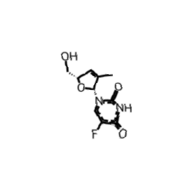 CC1=C[C@@H](CO)O[C@H]1n1cc(F)c(=O)[nH]c1=O